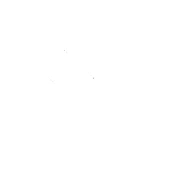 Cn1ccc2c(-c3cc(CS(C)(=O)=O)cc(C4CC4)c3Nc3ccc(F)cc3F)c[nH]c2c1=O